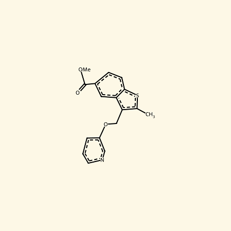 COC(=O)c1ccc2sc(C)c(COc3cccnc3)c2c1